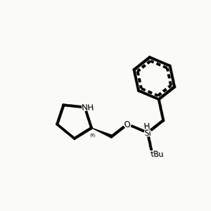 CC(C)(C)[SiH](Cc1ccccc1)OC[C@H]1CCCN1